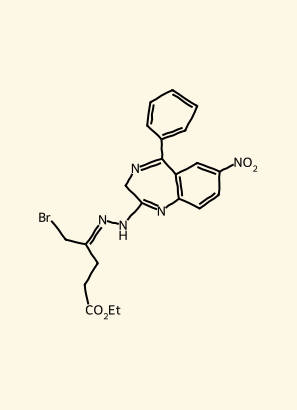 CCOC(=O)CC/C(CBr)=N\NC1=Nc2ccc([N+](=O)[O-])cc2C(c2ccccc2)=NC1